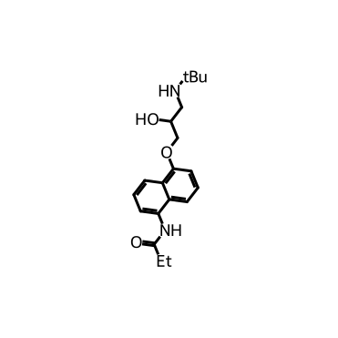 CCC(=O)Nc1cccc2c(OCC(O)CNC(C)(C)C)cccc12